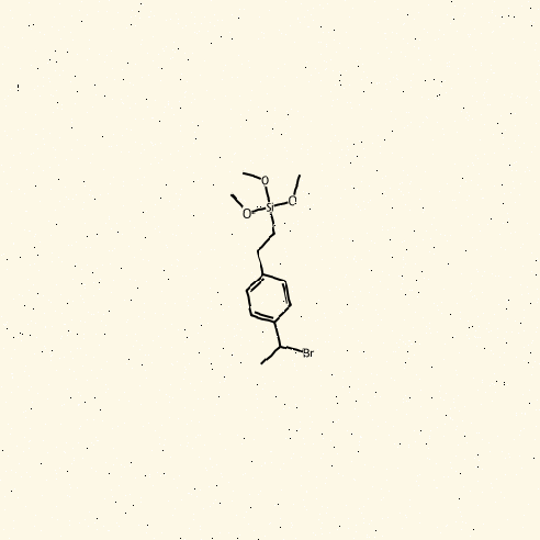 CO[Si](CCc1ccc(C(C)Br)cc1)(OC)OC